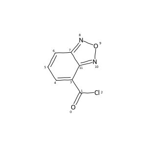 O=C(Cl)c1cccc2nonc12